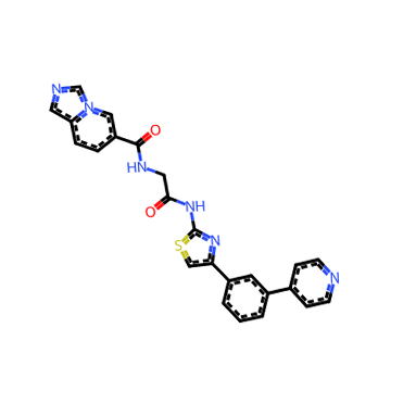 O=C(CNC(=O)c1ccc2cncn2c1)Nc1nc(-c2cccc(-c3ccncc3)c2)cs1